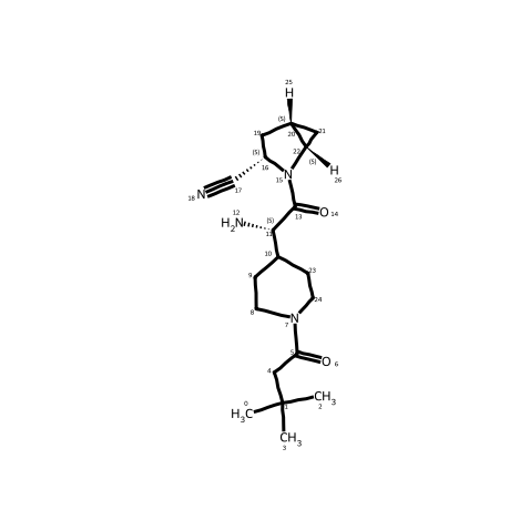 CC(C)(C)CC(=O)N1CCC([C@H](N)C(=O)N2[C@H](C#N)C[C@@H]3C[C@@H]32)CC1